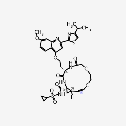 COc1ccc2c(OCC[C@@H]3NC(=O)CCCCC/C=C\[C@@H]4C[C@@]4(C(=O)NS(=O)(=O)C4CC4)NC3=O)cc(-c3nc(C(C)C)cs3)nc2c1